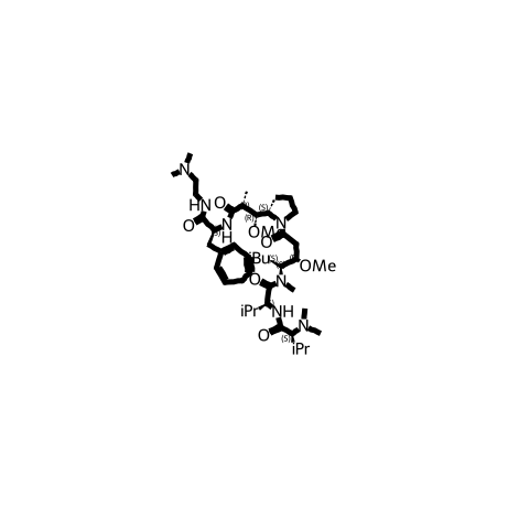 CC[C@H](C)[C@@H]([C@@H](CC(=O)N1CCC[C@H]1[C@H](OC)[C@@H](C)C(=O)N[C@@H](CC1=CC#CCC=C1)C(=O)NCCN(C)C)OC)N(C)C(=O)[C@@H](NC(=O)[C@H](C(C)C)N(C)C)C(C)C